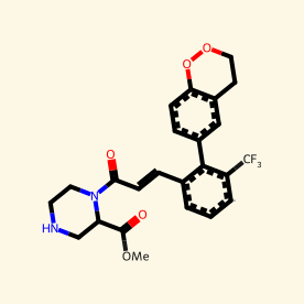 COC(=O)C1CNCCN1C(=O)/C=C/c1cc[c]c(C(F)(F)F)c1-c1ccc2c(c1)CCOO2